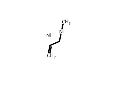 C=C[CH2][Ni][CH3].[Ni]